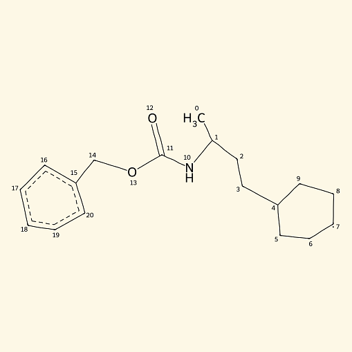 CC(CCC1CC[CH]CC1)NC(=O)OCc1ccccc1